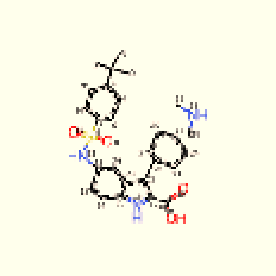 CC(C)(C)c1ccc(S(=O)(=O)Nc2ccc3[nH]c(C(=O)O)c(-c4ccccc4)c3c2)cc1.CNC